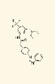 CCN(CC)Cc1cc(NC(=O)Cc2ccc(-n3cnc4ccccc43)cc2)cc(C(F)(F)F)c1